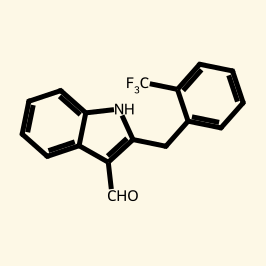 O=Cc1c(Cc2ccccc2C(F)(F)F)[nH]c2ccccc12